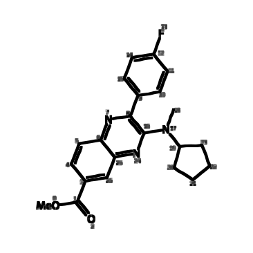 COC(=O)c1ccc2nc(-c3ccc(F)cc3)c(N(C)C3CCCC3)nc2c1